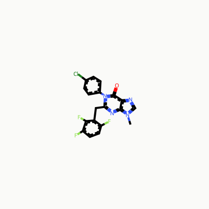 Cn1cnc2c(=O)n(-c3ccc(Cl)cc3)c(Cc3c(F)ccc(F)c3F)nc21